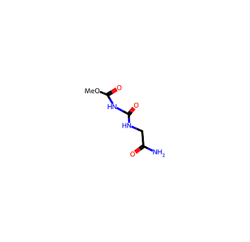 COC(=O)NC(=O)NCC(N)=O